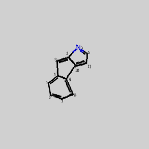 C1=NC2=Cc3ccccc3C2=C1